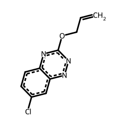 C=CCOc1nnc2cc(Cl)ccc2n1